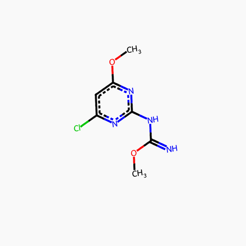 COC(=N)Nc1nc(Cl)cc(OC)n1